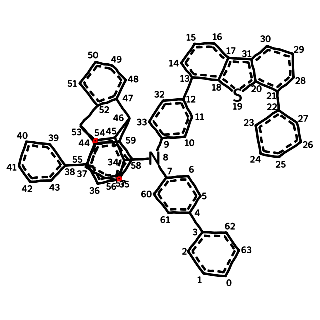 c1ccc(-c2ccc(N(c3ccc(-c4cccc5c4sc4c(-c6ccccc6)cccc45)cc3)c3ccc(-c4ccccc4)c4c3C3c5ccccc5C4c4ccccc43)cc2)cc1